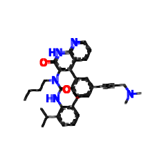 CCCCN(C(=O)Nc1c(C(C)C)cccc1C(C)C)c1c(-c2cccc(C#CCN(C)C)c2)c2cccnc2[nH]c1=O